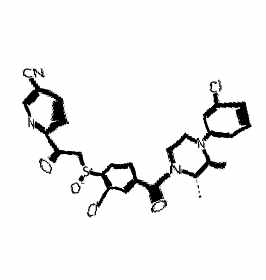 CC1[C@H](C)N(C(=O)c2ccc([S+]([O-])CC(=O)c3ccc(C#N)cn3)c(Cl)c2)CCN1c1cccc(Cl)c1